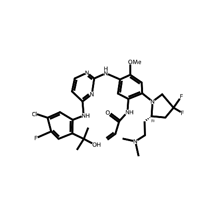 C=CC(=O)Nc1cc(Nc2nccc(Nc3cc(Cl)c(F)cc3C(C)(C)O)n2)c(OC)cc1N1CC(F)(F)C[C@@H]1CCN(C)C